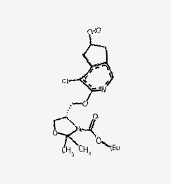 CC(C)(C)OC(=O)N1[C@@H](COc2ncc3c(c2Cl)CC(C=O)C3)COC1(C)C